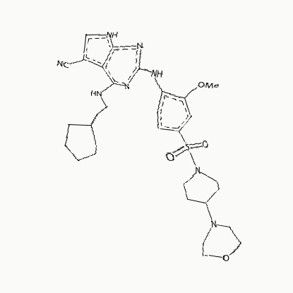 COc1cc(S(=O)(=O)N2CCC(N3CCOCC3)CC2)ccc1Nc1nc(NCC2CCCC2)c2c(C#N)c[nH]c2n1